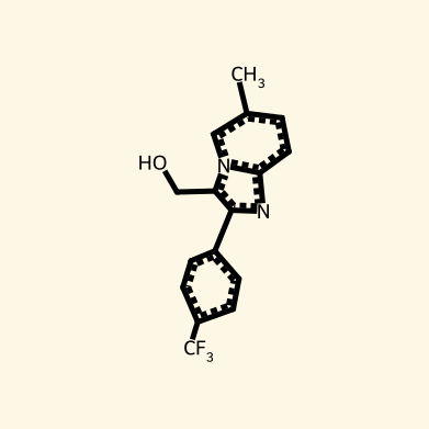 Cc1ccc2nc(-c3ccc(C(F)(F)F)cc3)c(CO)n2c1